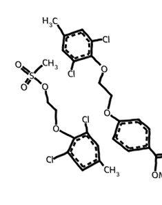 COC(=O)c1ccc(OCCOc2c(Cl)cc(C)cc2Cl)cc1.Cc1cc(Cl)c(OCCOS(C)(=O)=O)c(Cl)c1